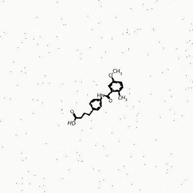 COc1ccc(C)c(C(=O)Nc2ccc(CCCC(=O)O)cc2)c1